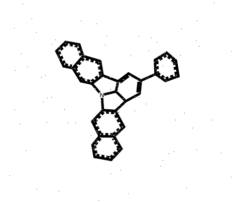 C1=C(c2ccccc2)C=C2c3cc4ccccc4cc3N3c4cc5ccccc5cc4C1C23